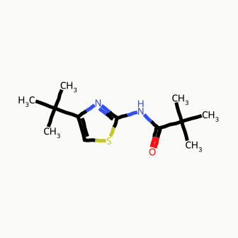 CC(C)(C)C(=O)Nc1nc(C(C)(C)C)cs1